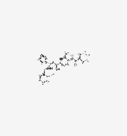 N=C(/C=C(\NCc1ccccc1F)c1ccon1)c1ncc(NC(=O)C2CCCCC2)c(N)n1